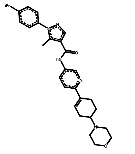 Cc1c(C(=O)Nc2ccc(C3=CCC(N4CCOCC4)CC3)nc2)cnn1-c1ccc(C(C)C)cc1